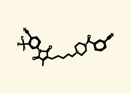 CC1=C(CCCCCN2CCN(C(=O)c3cccc(C#N)c3)CC2)C(=O)N(c2ccc(C#N)c(C(F)(F)F)c2)C1=O